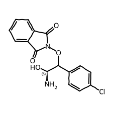 N[C@@H](O)C(ON1C(=O)c2ccccc2C1=O)c1ccc(Cl)cc1